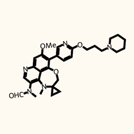 COc1cc2ncc(N(C)C=O)c3c2c(c1-c1ccc(OCCCN2CCCCC2)nc1)OCC1(CC1)N3C